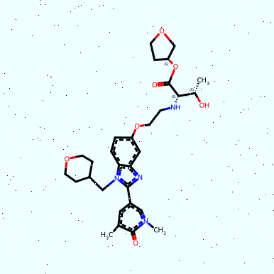 Cc1cc(-c2nc3cc(OCCN[C@H](C(=O)O[C@H]4CCOC4)[C@H](C)O)ccc3n2CC2CCOCC2)cn(C)c1=O